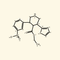 CCOC(=O)C1C(c2cccc([N+](=O)[O-])c2)CNCC1c1nccs1